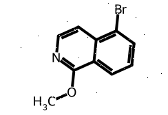 COc1nccc2c(Br)cccc12